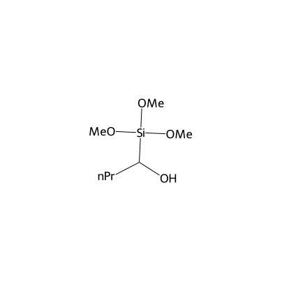 [CH2]CCC(O)[Si](OC)(OC)OC